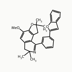 COc1cc2c(c3c1OC(C)(C)C3)C(c1cccc(-c3cc4ccccc4o3)c1)=NC(C)(C)C2